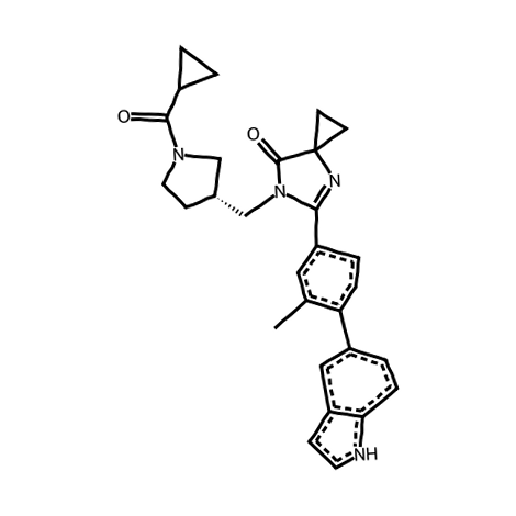 Cc1cc(C2=NC3(CC3)C(=O)N2C[C@@H]2CCN(C(=O)C3CC3)C2)ccc1-c1ccc2[nH]ccc2c1